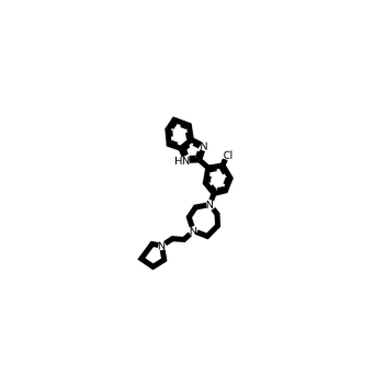 Clc1ccc(N2CCCN(CCN3CCCC3)CC2)cc1-c1nc2ccccc2[nH]1